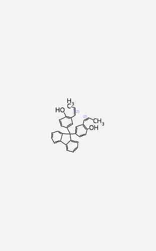 C/C=C\c1cc(C2(c3ccc(O)c(/C=C\C)c3)c3ccccc3-c3ccccc32)ccc1O